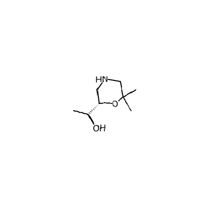 CC(O)[C@@H]1CNCC(C)(C)O1